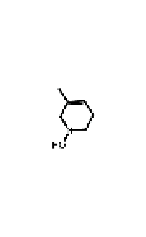 CC1=CCCN(O)C1